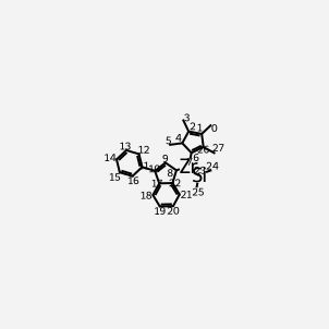 CC1=C(C)C(C)[C]([Zr]([CH]2C=C(c3ccccc3)c3ccccc32)=[Si](C)C)=C1C